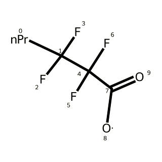 CCCC(F)(F)C(F)(F)C([O])=O